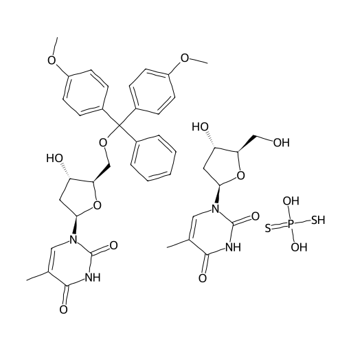 COc1ccc(C(OC[C@H]2O[C@@H](n3cc(C)c(=O)[nH]c3=O)C[C@@H]2O)(c2ccccc2)c2ccc(OC)cc2)cc1.Cc1cn([C@H]2C[C@H](O)[C@@H](CO)O2)c(=O)[nH]c1=O.OP(O)(=S)S